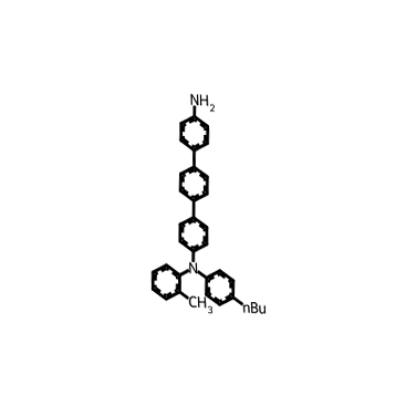 CCCCc1ccc(N(c2ccc(-c3ccc(-c4ccc(N)cc4)cc3)cc2)c2ccccc2C)cc1